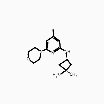 C[C@]1([SiH3])C[C@@H](Nc2cc(I)cc(N3CCOCC3)n2)C1